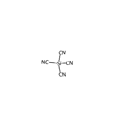 N#C[Si](C#N)(C#N)C#N